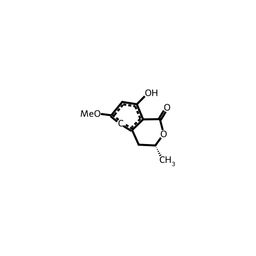 COc1cc(O)c2c(c1)C[C@@H](C)OC2=O